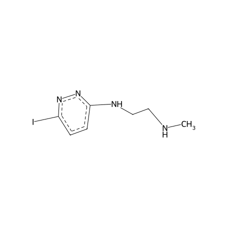 CNCCNc1ccc(I)nn1